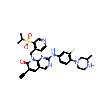 C#Cc1cc2cnc(Nc3ccc(N4CCNC(C)C4)c(F)c3)nc2n(Cc2ccncc2S(=O)(=O)C(C)C)c1=O